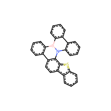 c1ccc2c(c1)B1c3ccccc3-c3ccc4c(sc5ccccc54)c3N1c1ccccc1-2